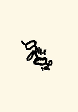 CNC(=O)c1ccc(C(=O)NC2CCC(C)CC2)cc1